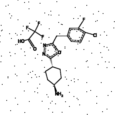 N[C@H]1CC[C@H](c2nnc(Cc3ccc(Cl)c(F)c3)o2)CC1.O=C(O)C(F)(F)F